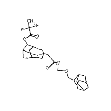 CC(F)(F)C(=O)OC1C2CC3CC1CC(CC(=O)OCOCC1C4CC5CC(C4)CC1C5)(C3)C2